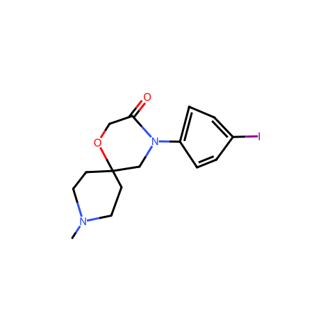 CN1CCC2(CC1)CN(c1ccc(I)cc1)C(=O)CO2